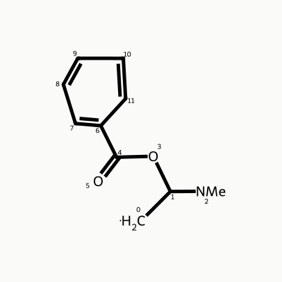 [CH2]C(NC)OC(=O)c1ccccc1